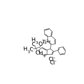 CC(C)(C)C[O][Ti+2][c]1c(C2C(c3ccccc3)=Cc3ccccc32)ccc2ccccc12.[Cl-].[Cl-]